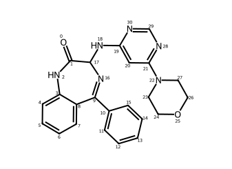 O=C1Nc2ccccc2C(c2ccccc2)=NC1Nc1cc(N2CCOCC2)ncn1